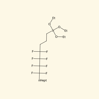 CCCCCCCC(F)(F)C(F)(F)C(F)(F)C(F)(F)CCC[Si](OCC)(OCC)OCC